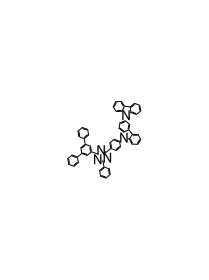 c1ccc(-c2cc(-c3ccccc3)cc(-c3nc(-c4ccccc4)nc(-c4ccc(-n5c6ccccc6c6cc(-n7c8ccccc8c8ccccc87)ccc65)cc4)n3)c2)cc1